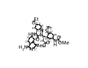 CCOc1ccc(F)c(C(Nc2ccc3c(N)nccc3c2)C(=O)N[C@H](CC(=O)OC)c2cc(NC(=O)OC)ccc2SC(C)C)c1